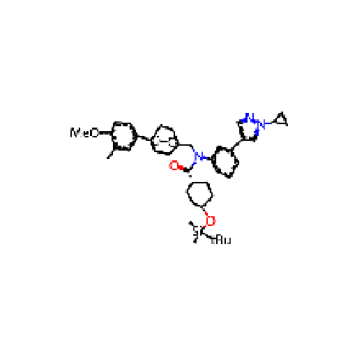 COc1ccc(C23CCC(CN(c4cccc(-c5cnn(C6CC6)c5)c4)C(=O)[C@H]4CC[C@H](O[Si](C)(C)C(C)(C)C)CC4)(CC2)CC3)cc1C